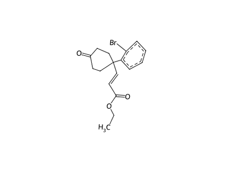 CCOC(=O)C=CC1(c2ccccc2Br)CCC(=O)CC1